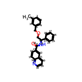 Cc1cccc(COCC(NC(=O)c2ccc3ncccc3c2)c2ccccc2)c1